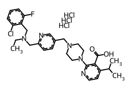 CCN(Cc1ccc(CN2CCN(c3nccc(C(C)C)c3C(=O)O)CC2)cn1)Cc1c(F)cccc1Cl.Cl.Cl.Cl